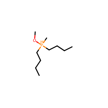 CCCC[PH](C)(CCCC)OC